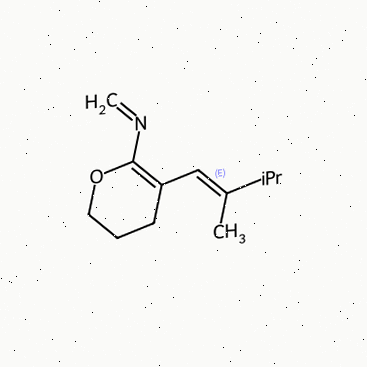 C=NC1=C(/C=C(\C)C(C)C)CCCO1